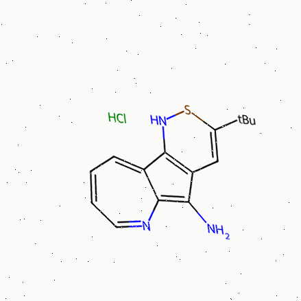 CC(C)(C)C1=Cc2c(N)c3nccccc-3c2NS1.Cl